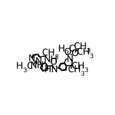 CNc1nccc(C(C)Nc2ccccc2C(=O)Nc2ccc3c(c2)CN(C(=O)OC(C)(C)C)CC3(C)C)n1